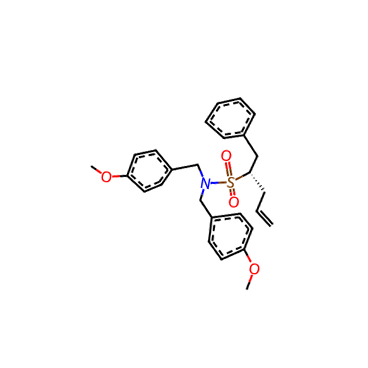 C=CC[C@@H](Cc1ccccc1)S(=O)(=O)N(Cc1ccc(OC)cc1)Cc1ccc(OC)cc1